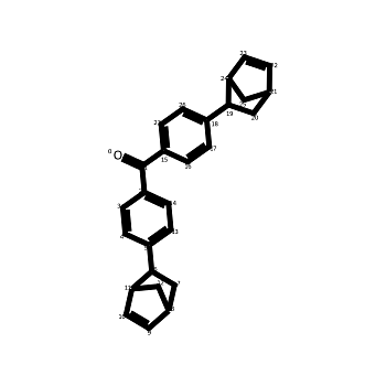 O=C(c1ccc(C2CC3C=CC2C3)cc1)c1ccc(C2CC3C=CC2C3)cc1